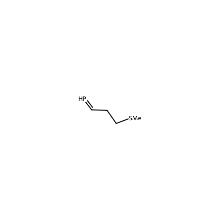 CSCCC=P